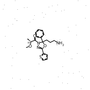 CO[C@@H](C)C(=O)N1N=C(c2cccs2)OC1(CCCN)c1ccccc1